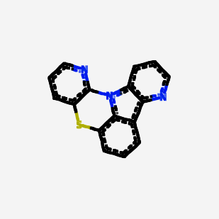 c1cnc2c(c1)Sc1cccc3c4ncccc4n-2c13